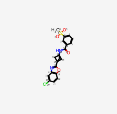 CS(=O)(=O)c1cccc(C(=O)NC23CC(c4nc5cc(Cl)ccc5o4)(C2)C3)c1